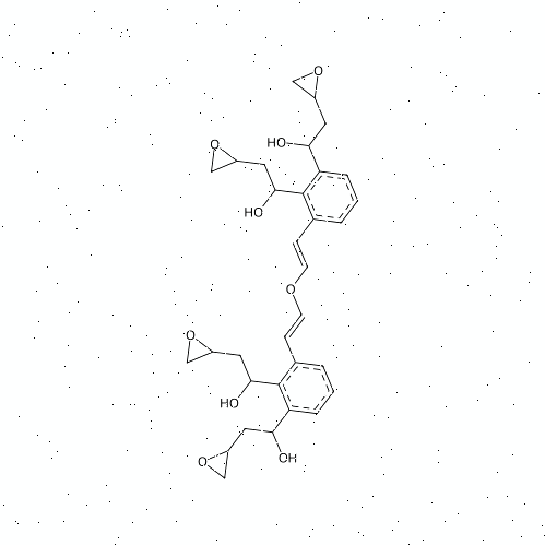 OC(CC1CO1)c1cccc(C=COC=Cc2cccc(C(O)CC3CO3)c2C(O)CC2CO2)c1C(O)CC1CO1